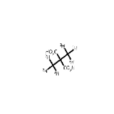 [2H]C([2H])([2H])C(C(=O)O)(C(=O)O)C([2H])([2H])[2H]